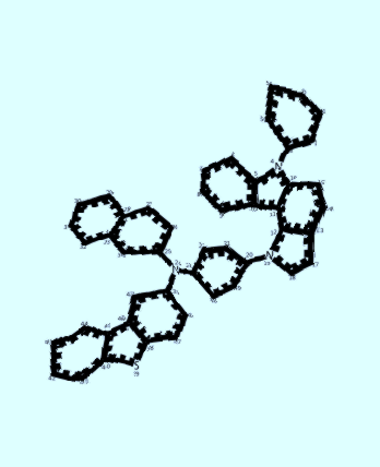 c1ccc(-n2c3ccccc3c3c4c(ccc32)ccn4-c2ccc(N(c3ccc4ccccc4c3)c3ccc4sc5ccccc5c4c3)cc2)cc1